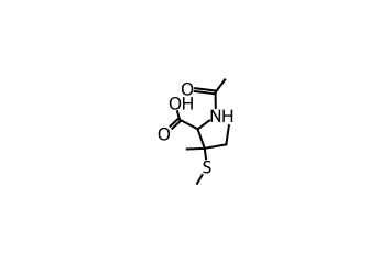 CCC(C)(SC)C(NC(C)=O)C(=O)O